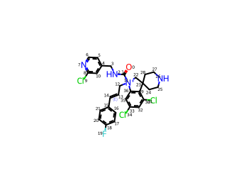 O=C(NCc1ccnc(Cl)c1)[N+]1(C/C=C/c2ccc(F)cc2)CC2(CCNCC2)c2c(Cl)cc(Cl)cc21